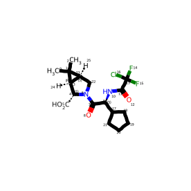 CC1(C)[C@@H]2[C@@H](C(=O)O)N(C(=O)[C@@H](NC(=O)C(F)(F)Cl)C3CCCC3)C[C@@H]21